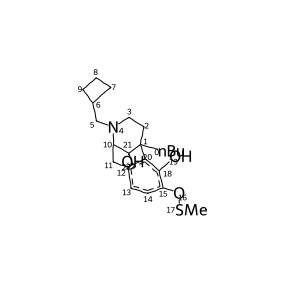 CCCCC12CCN(CC3CCC3)C(Cc3ccc(OSC)c(O)c31)C2(C)O